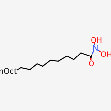 CCCCCCCCCCCCCCCCCC(=O)N(O)O